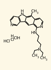 CCN(CC)CCCNc1nccc2c(C)c3[nH]c4ccncc4c3cc12.Cl.Cl.Cl